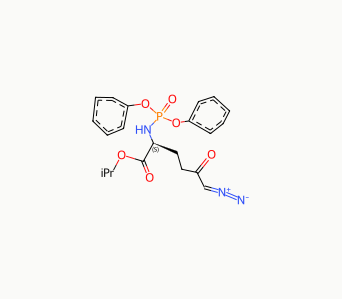 CC(C)OC(=O)[C@H](CCC(=O)C=[N+]=[N-])NP(=O)(Oc1ccccc1)Oc1ccccc1